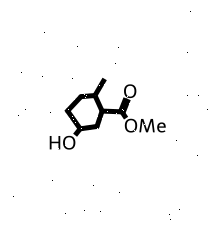 COC(=O)C1CC(O)CCC1C